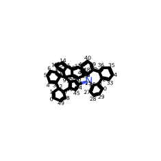 C1=CC2c3ccccc3C3(c4ccccc4-c4ccccc43)c3cc(N4c5ccccc5-c5ccccc5-c5ccccc54)ccc3C2C=C1